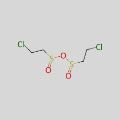 O=S(CCCl)OS(=O)CCCl